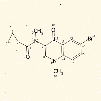 CN(C(=O)C1CC1)c1cn(C)c2ccc(Br)cc2c1=O